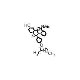 CNC(=O)c1ccccc1C1=C(C)c2cc(O)ccc2OC1c1ccc(OCC(C)N2CCC(C)C2)cc1